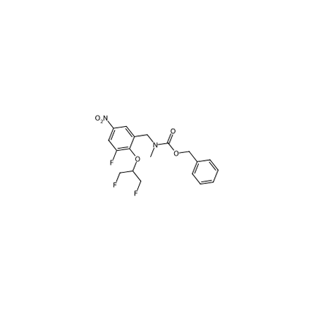 CN(Cc1cc([N+](=O)[O-])cc(F)c1OC(CF)CF)C(=O)OCc1ccccc1